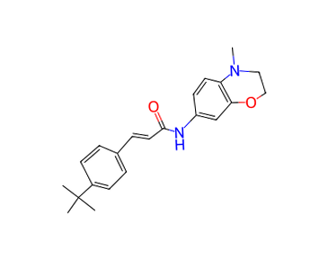 CN1CCOc2cc(NC(=O)/C=C/c3ccc(C(C)(C)C)cc3)ccc21